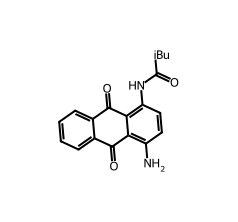 CCC(C)C(=O)Nc1ccc(N)c2c1C(=O)c1ccccc1C2=O